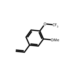 C=Cc1ccc(OC(F)(F)F)c(OC)c1